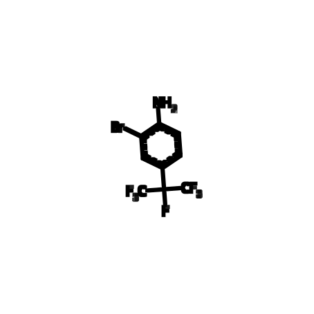 Nc1ccc(C(F)(C(F)(F)F)C(F)(F)F)cc1Br